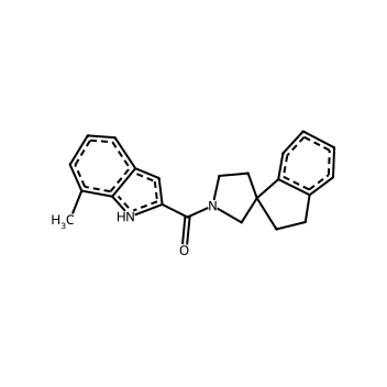 Cc1cccc2cc(C(=O)N3CCC4(CCc5ccccc54)C3)[nH]c12